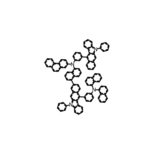 c1ccc(-n2c3ccccc3c3c(-c4cccc(N(c5ccc6c(ccc7ccccc76)c5)c5cccc6c(-c7ccc8c(-c9cccc(N(c%10cccc%11ccccc%10%11)c%10cccc%11ccccc%10%11)c9)c9c%10ccccc%10n(-c%10ccccc%10)c9cc8c7)cccc56)c4)c4ccccc4cc32)cc1